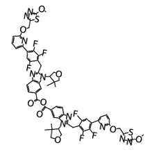 COc1nnc(COc2cccc(-c3cc(F)c(Cc4nc5ccc(C(=O)OC(=O)c6ccc7nc(Cc8c(F)cc(-c9cccc(OCc%10nnc(OC)s%10)n9)c(F)c8F)n(C8COCC8(C)C)c7c6)cc5n4C4COCC4(C)C)c(F)c3F)n2)s1